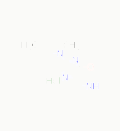 CCCN(C)c1cnc2c(n1)OCCNC2.Cl